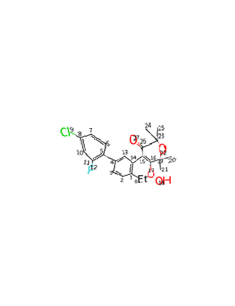 CCc1ccc(-c2ccc(Cl)cc2F)cc1C1=C(OO)C(C)(C)OC(C)(C)C1=O